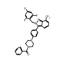 O=C(c1ccccc1)N1CCN(c2ccc(-c3c4cccc(C(F)(F)F)c4nn3Cc3c(F)cc(F)cc3F)cc2)CC1